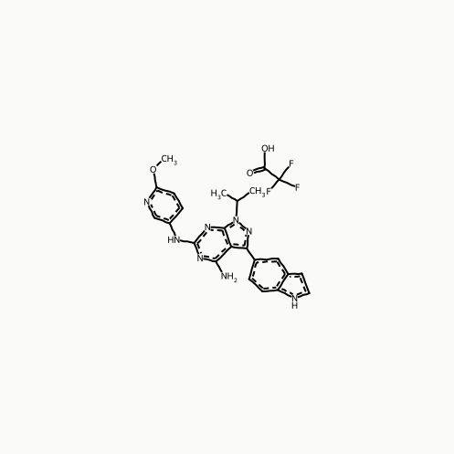 COc1ccc(Nc2nc(N)c3c(-c4ccc5[nH]ccc5c4)nn(C(C)C)c3n2)cn1.O=C(O)C(F)(F)F